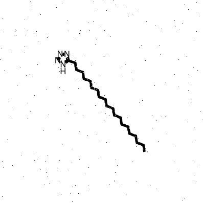 [CH2]CCCCCCCCCCCCCCCCCCCc1nnn[nH]1